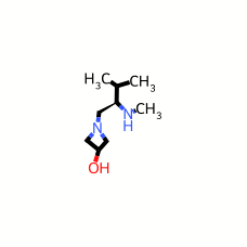 CN[C@@H](CN1CC(O)C1)C(C)C